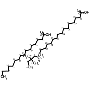 CC(C)(CO)CO.CCCCCCCCCCCCCCCC(=O)O.CCCCCCCCCCCCCCCC(=O)O